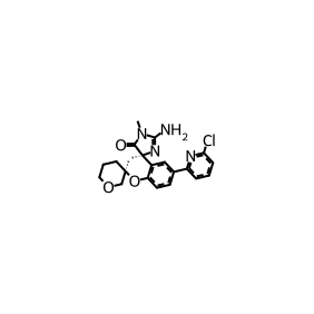 CN1C(=O)[C@@]2(C[C@]3(CCCOC3)Oc3ccc(-c4cccc(Cl)n4)cc32)N=C1N